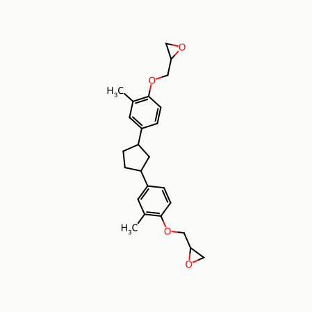 Cc1cc(C2CCC(c3ccc(OCC4CO4)c(C)c3)C2)ccc1OCC1CO1